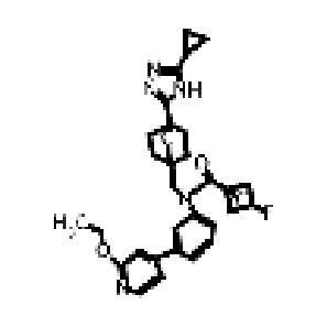 CCOc1cc(-c2cccc(N(CC34CCC(c5nnc(C6CC6)[nH]5)(CC3)CC4)C(=O)C34CC(F)(C3)C4)c2)ccn1